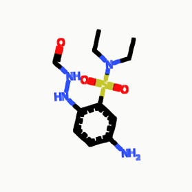 CCN(CC)S(=O)(=O)c1cc(N)ccc1NNC=O